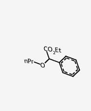 CCCOC(C(=O)OCC)c1ccccc1